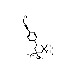 CC1(C)CC(c2ccc(C#CCO)cc2)CC(C)(C)C1